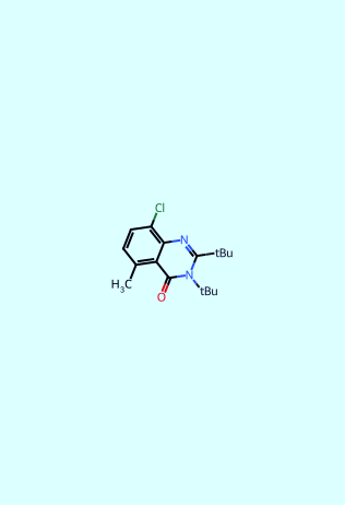 Cc1ccc(Cl)c2nc(C(C)(C)C)n(C(C)(C)C)c(=O)c12